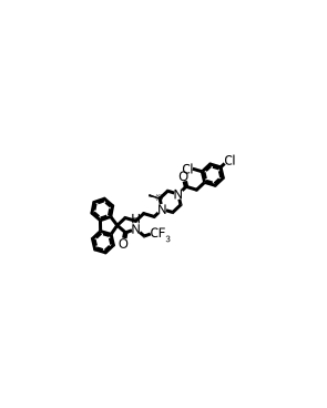 C[C@H]1CN(C(=O)Cc2ccc(Cl)cc2Cl)CCN1CCCCC1(C(=O)NCC(F)(F)F)c2ccccc2-c2ccccc21